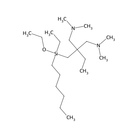 CCCCCC[Si](CC)(CC(CC)(CN(C)C)CN(C)C)OCC